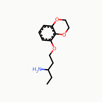 CCC(N)CCOc1cccc2c1OCCO2